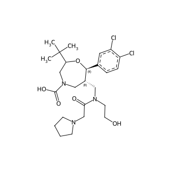 CC(C)(C)C1CN(C(=O)O)C[C@@H](CN(CCO)C(=O)CN2CCCC2)[C@H](c2ccc(Cl)c(Cl)c2)O1